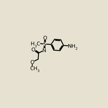 COCC(=O)N=S(C)(=O)c1ccc(N)cc1